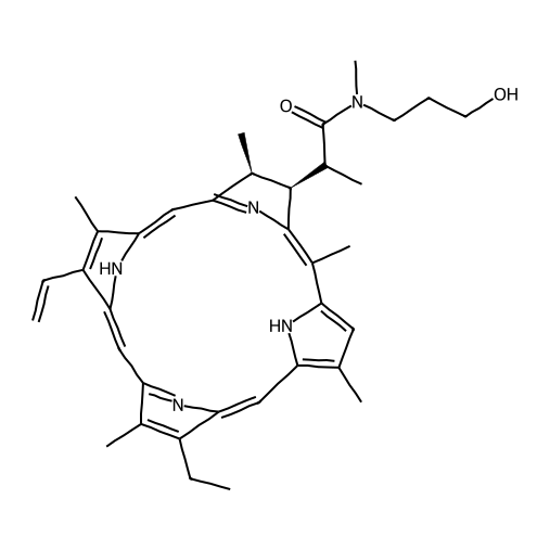 C=Cc1c(C)c2cc3nc(c(C)c4cc(C)c(cc5nc(cc1[nH]2)C(C)=C5CC)[nH]4)[C@H](C(C)C(=O)N(C)CCCO)[C@@H]3C